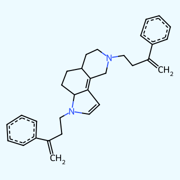 C=C(CCN1CCC2CCC3C(=C2C1)C=CN3CCC(=C)c1ccccc1)c1ccccc1